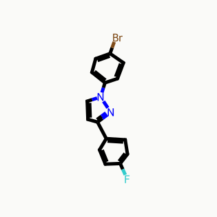 Fc1ccc(-c2ccn(-c3ccc(Br)cc3)n2)cc1